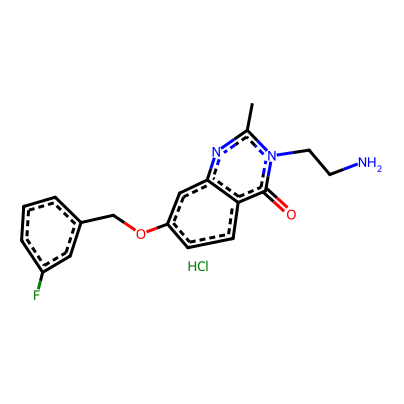 Cc1nc2cc(OCc3cccc(F)c3)ccc2c(=O)n1CCN.Cl